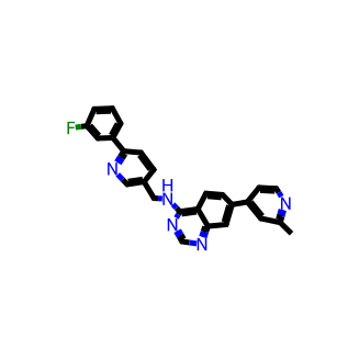 Cc1cc(-c2ccc3c(NCc4ccc(-c5cccc(F)c5)nc4)ncnc3c2)ccn1